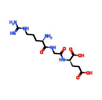 N=C(N)NCCC[C@H](N)C(=O)NCC(=O)N[C@@H](CCC(=O)O)C(=O)O